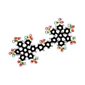 O=S(=O)(Cl)c1ccc(-c2c(-c3ccc(-c4ccc5c(c4)S(=O)(=O)c4cc(-c6ccc(-c7c(-c8ccc(S(=O)(=O)Cl)cc8)c(-c8ccc(S(=O)(=O)Cl)cc8)c(-c8ccc(S(=O)(=O)Cl)cc8)c(-c8ccc(S(=O)(=O)Cl)cc8)c7-c7ccc(S(=O)(=O)Cl)cc7)cc6)ccc4-5)cc3)c(-c3ccc(S(=O)(=O)Cl)cc3)c(-c3ccc(S(=O)(=O)Cl)cc3)c(-c3ccc(S(=O)(=O)Cl)cc3)c2-c2ccc(S(=O)(=O)Cl)cc2)cc1